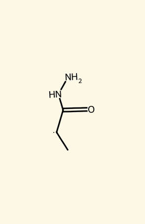 C[CH]C(=O)NN